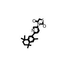 Cc1cc2c(cc1-c1ccc(N3C(=O)CSC3=O)cn1)C(C)(C)CCC2(C)C